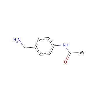 CCCC(=O)Nc1ccc(CN)cc1